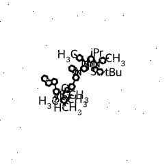 Cc1ccc(N2c3cc(-n4c5ccccc5c5cc(-c6ccc7c8c(oc7c6)P6c7cc(-c9cccc%10c9ccc9ccccc9%10)ccc7[SiH](C)c7cc(C)cc(c76)[Si]8(C)C)ccc54)ccc3P3c4sc5ccc(C(C)(C)C)cc5c4N(c4ccc(C)cc4)c4cc(C(C)C)cc2c43)cc1